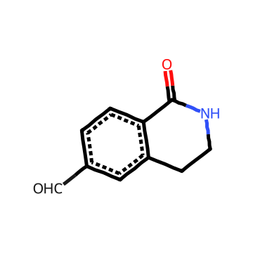 O=Cc1ccc2c(c1)CCNC2=O